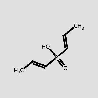 C/C=C/P(=O)(O)/C=C/C